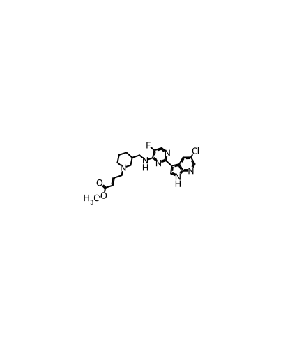 COC(=O)C=CCN1CCCC(CNc2nc(-c3c[nH]c4ncc(Cl)cc34)ncc2F)C1